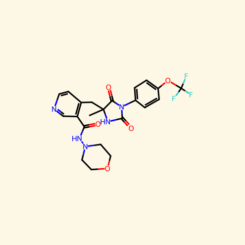 CC1(Cc2ccncc2C(=O)NN2CCOCC2)NC(=O)N(c2ccc(OC(F)(F)F)cc2)C1=O